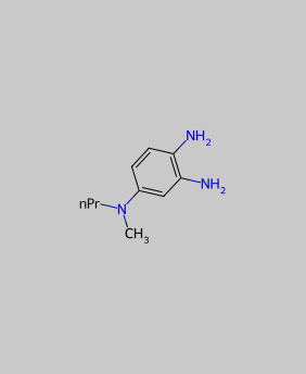 CCCN(C)c1ccc(N)c(N)c1